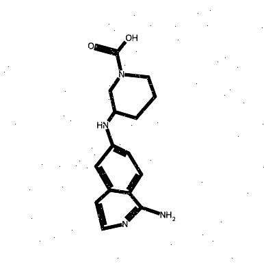 Nc1nccc2cc(NC3CCCN(C(=O)O)C3)ccc12